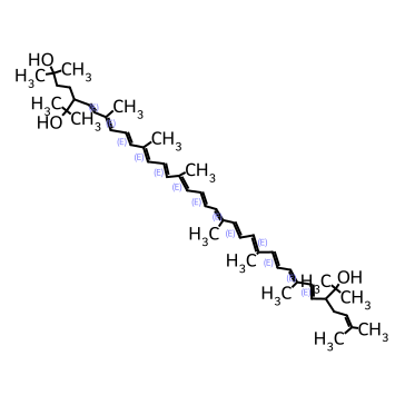 CC(C)=CCC(/C=C/C(C)=C/C=C/C(C)=C/C=C/C(C)=C/C=C/C=C(C)/C=C/C=C(C)/C=C/C=C(C)/C=C/C(CCC(C)(C)O)C(C)(C)O)C(C)(C)O